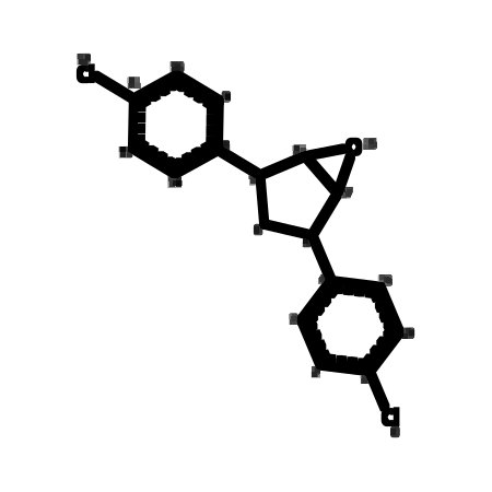 Clc1ccc(C2CC(c3ccc(Cl)cc3)C3OC23)cc1